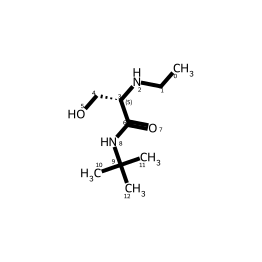 CCN[C@@H](CO)C(=O)NC(C)(C)C